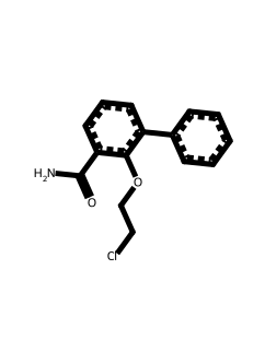 NC(=O)c1cccc(-c2ccccc2)c1OCCCl